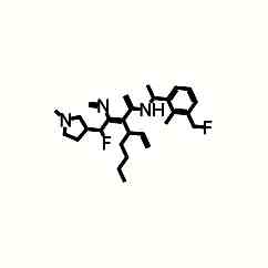 C=CC(CCCC)/C(C(=C)NC(C)c1cccc(CF)c1C)=C(/N=C)C(F)C1CCN(C)C1